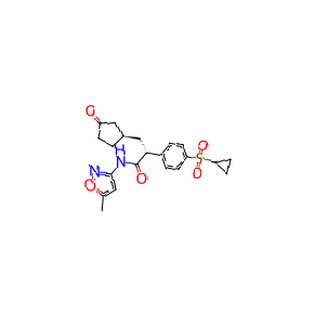 Cc1cc(NC(=O)[C@H](C[C@H]2CCC(=O)C2)c2ccc(S(=O)(=O)C3CC3)cc2)no1